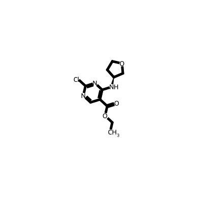 CCOC(=O)c1cnc(Cl)nc1N[C@H]1CCOC1